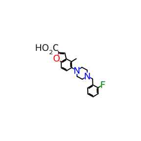 Cc1c(N2CCN(Cc3ccccc3F)CC2)ccc2oc(C(=O)O)cc12